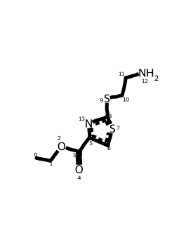 CCOC(=O)c1csc(SCCN)n1